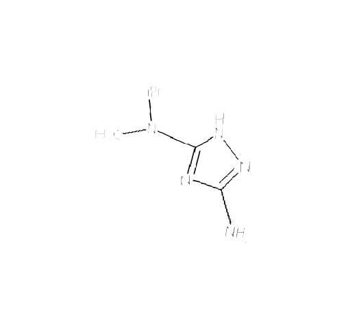 CC(C)N(C)c1nc(N)n[nH]1